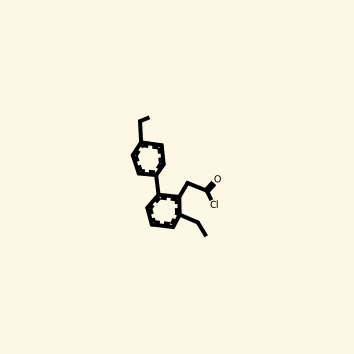 CCc1ccc(-c2cccc(CC)c2CC(=O)Cl)cc1